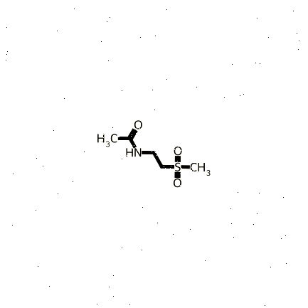 CC(=O)NCCS(C)(=O)=O